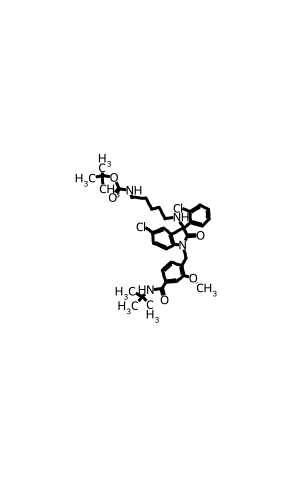 COc1cc(C(=O)NC(C)(C)C)ccc1CN1C(=O)C(NCCCCCNC(=O)OC(C)(C)C)(c2ccccc2Cl)c2cc(Cl)ccc21